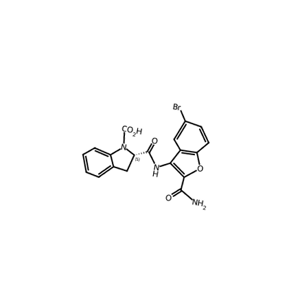 NC(=O)c1oc2ccc(Br)cc2c1NC(=O)[C@@H]1Cc2ccccc2N1C(=O)O